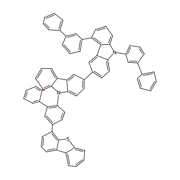 c1ccc(-c2cccc(-c3cccc4c3c3cc(-c5ccc6c(c5)c5ccccc5n6-c5ccc(-c6cccc7c6sc6ccccc67)cc5-c5ccccc5)ccc3n4-c3cccc(-c4ccccc4)c3)c2)cc1